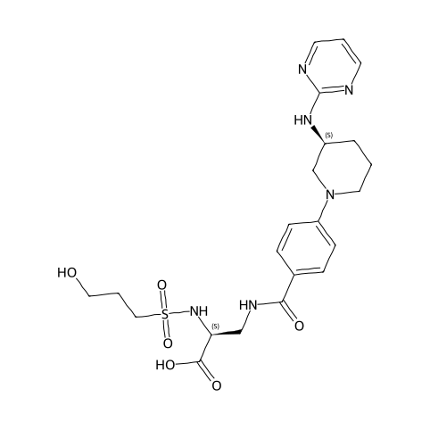 O=C(NC[C@H](NS(=O)(=O)CCCO)C(=O)O)c1ccc(N2CCC[C@H](Nc3ncccn3)C2)cc1